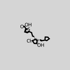 O=C(O)c1ccc(CCC[C@@H]2[C@H](C=CC3CCCC3)[C@H](O)C[C@@H]2Cl)s1